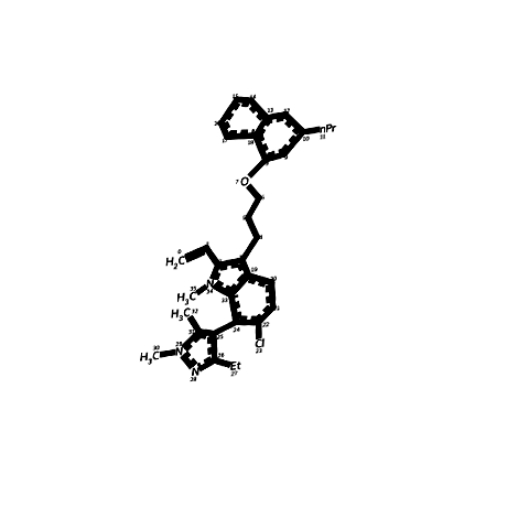 C=Cc1c(CCCOc2cc(CCC)cc3ccccc23)c2ccc(Cl)c(-c3c(CC)nn(C)c3C)c2n1C